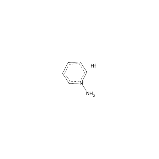 N[n+]1ccccc1.[Hf]